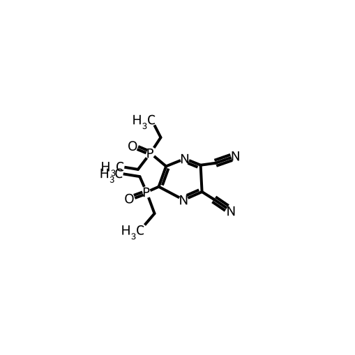 CCP(=O)(CC)c1nc(C#N)c(C#N)nc1P(=O)(CC)CC